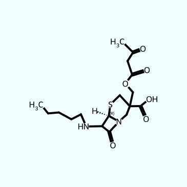 CCCCCNC1C(=O)N2CC(COC(=O)CC(C)=O)(C(=O)O)CS[C@H]12